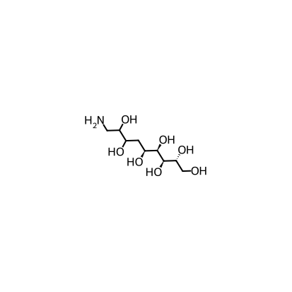 NCC(O)C(O)C[C@H](O)[C@@H](O)[C@H](O)[C@H](O)CO